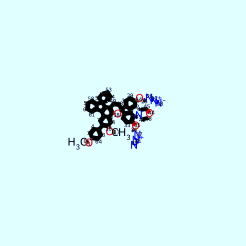 COc1ccc(-c2cc3c4c(c5c(c3cc2OC)OC(c2ccc(OCN=[N+]=[N-])cc2)(c2ccc(OCN=[N+]=[N-])c(N3CCOCC3)c2)C=C5)C2(CC3CCC2C3)c2ccccc2-4)cc1